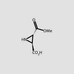 COC(=O)[C@H]1N[C@@H]1C(=O)O